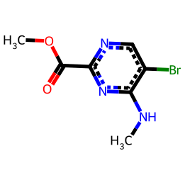 CNc1nc(C(=O)OC)ncc1Br